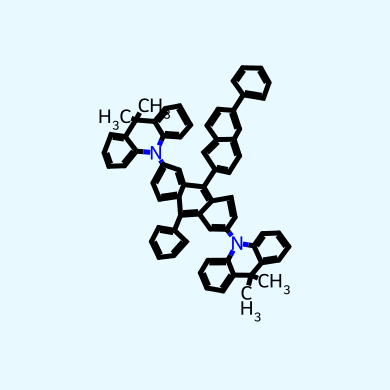 CC1(C)c2ccccc2N(c2ccc3c(-c4ccc5cc(-c6ccccc6)ccc5c4)c4cc(N5c6ccccc6C(C)(C)c6ccccc65)ccc4c(-c4ccccc4)c3c2)c2ccccc21